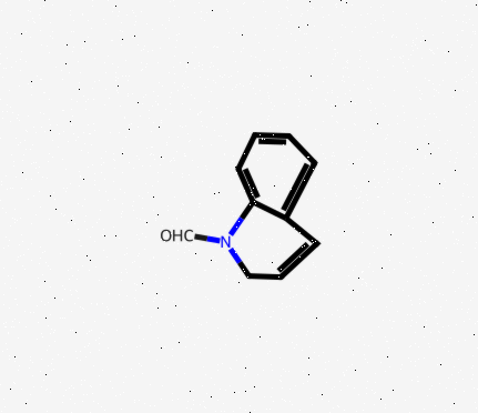 O=CN1CC=Cc2ccccc21